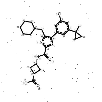 CC1(c2cc(Cl)cc(-c3sc(C(=O)N[C@H]4C[C@H](C(=O)O)C4)nc3CC3CCCCC3)c2)CC1